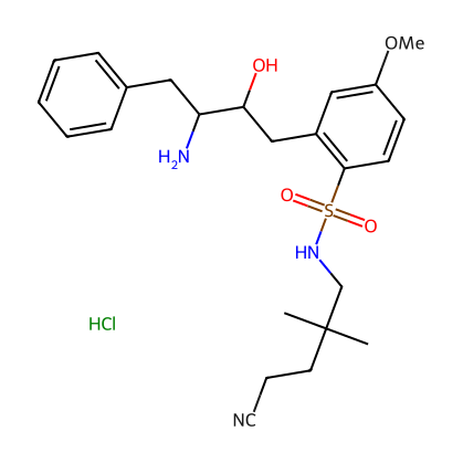 COc1ccc(S(=O)(=O)NCC(C)(C)CCC#N)c(CC(O)C(N)Cc2ccccc2)c1.Cl